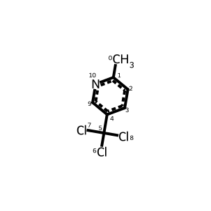 Cc1ccc(C(Cl)(Cl)Cl)cn1